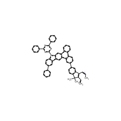 C=CC1=C(/C=C\C)c2cc(-c3ccc4c5ccccc5c5cc6c(cc5c4c3)c3cc(-c4ccccc4)ccc3n6-c3nc(-c4ccccc4)nc(-c4ccccc4)n3)ccc2C1(C)C